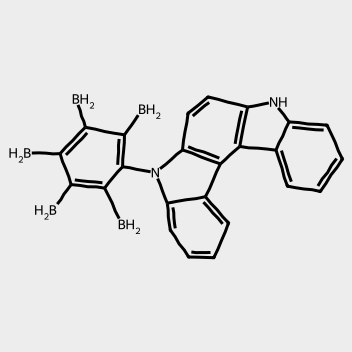 Bc1c(B)c(B)c(-n2c3ccccc3c3c4c(ccc32)[nH]c2ccccc24)c(B)c1B